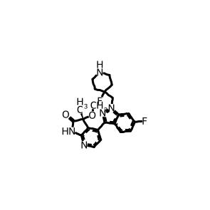 CO[C@@]1(C)C(=O)Nc2nccc(-c3nn(CC4(F)CCNCC4)c4cc(F)ccc34)c21